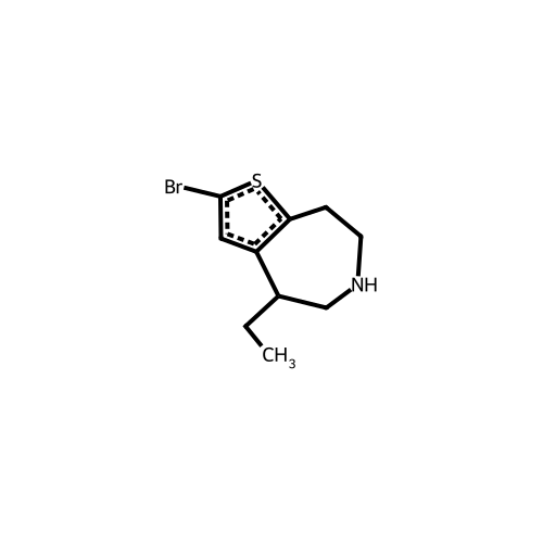 CCC1CNCCc2sc(Br)cc21